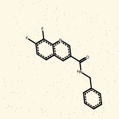 O=C(NCc1ccccc1)c1cnc2c(F)c(F)ccc2c1